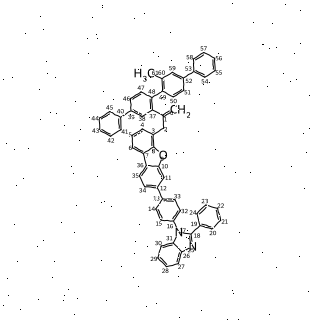 C=C(Cc1cccc2c1oc1cc(-c3ccc(-n4c(-c5ccccc5)nc5ccccc54)cc3)ccc12)c1cc(-c2ccccc2)ccc1-c1ccc(-c2ccccc2)cc1C